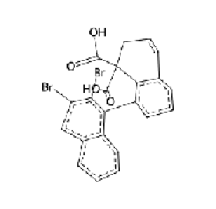 O=C(O)C1(C(=O)O)CC=Cc2cccc(-c3c(Br)c(Br)cc4ccccc34)c21